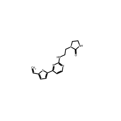 C=Cc1ccc(-c2ccnc(NCCN3CCNC3=O)n2)s1